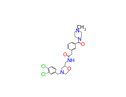 CN1CCN(C(=O)c2cccc(CC(=O)NCC3CN(Cc4ccc(Cl)c(Cl)c4)CCO3)c2)CC1